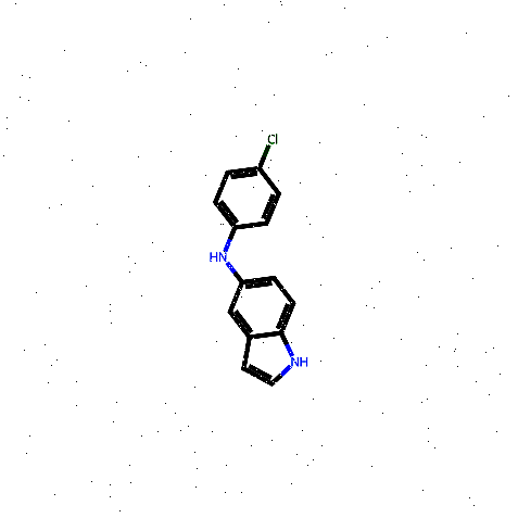 Clc1ccc(Nc2ccc3[nH]ccc3c2)cc1